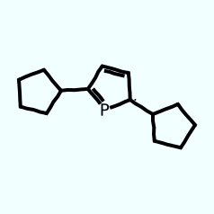 C1=CC(C2CCCC2)=P[C]1C1CCCC1